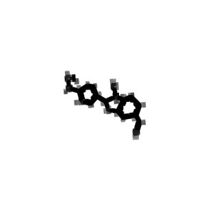 COc1ccc(C2Sc3cc(C=O)ccc3N2Cl)cn1